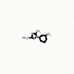 Cc1nc(C(=O)O)nn1-c1cccc(C(F)(F)F)c1